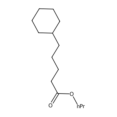 CCCOC(=O)CCCCC1CCCCC1